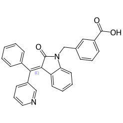 O=C(O)c1cccc(CN2C(=O)/C(=C(\c3ccccc3)c3cccnc3)c3ccccc32)c1